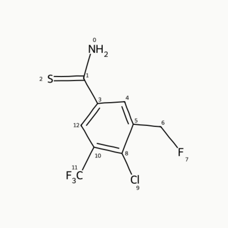 NC(=S)c1cc(CF)c(Cl)c(C(F)(F)F)c1